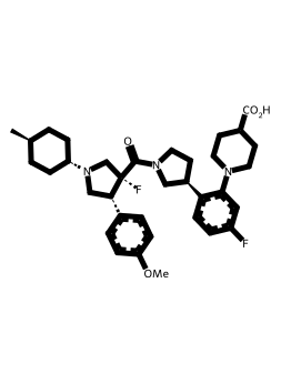 COc1ccc([C@@H]2CN([C@H]3CC[C@H](C)CC3)C[C@@]2(F)C(=O)N2CC[C@@H](c3ccc(F)cc3N3CCC(C(=O)O)CC3)C2)cc1